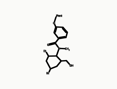 CCCC(C)Oc1cccc(C(=O)N(C)C2C(CC)CC(CC)CC2CO)c1